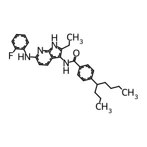 CCCCC(CCC)c1ccc(C(=O)Nc2c(CC)[nH]c3nc(Nc4ccccc4F)ccc23)cc1